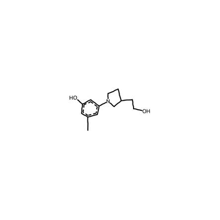 Cc1cc(O)cc(N2CCC(CCO)C2)c1